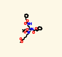 COC(=O)CCCCCN(C[C@H](CCCNC(=O)OCc1ccccc1)NC(=O)c1cc2ccccc2o1)C(=O)OC(C)(C)C